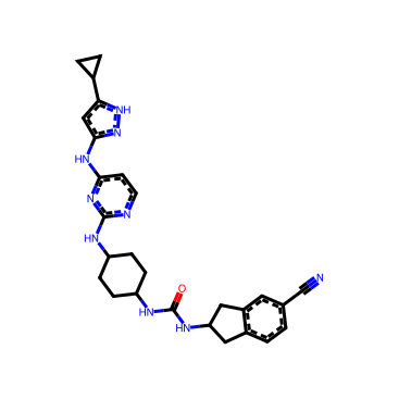 N#Cc1ccc2c(c1)CC(NC(=O)NC1CCC(Nc3nccc(Nc4cc(C5CC5)[nH]n4)n3)CC1)C2